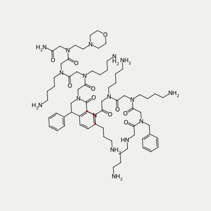 NCCCCNCC(=O)N(CC(=O)N(CCCCN)CC(=O)N(CCCCN)CC(=O)N(CCCCN)CC(=O)N(CC(=O)N(CCCCN)CC(=O)N(CCCCN)CC(=O)N(CCN1CCOCC1)CC(N)=O)CC(c1ccccc1)c1ccccc1)Cc1ccccc1